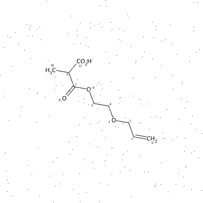 C=CCOCCOC(=O)C(C)C(=O)O